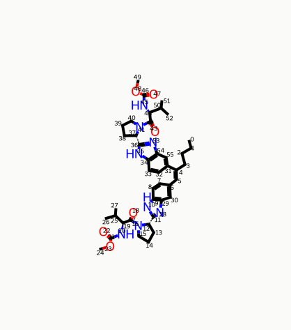 CCCC/C(=C/c1ccc2[nH]c([C@@H]3CCCN3C(=O)[C@@H](NC(=O)OC)C(C)C)nc2c1)c1ccc2[nH]c([C@@H]3CCCN3C(=O)[C@@H](NC(=O)OC)C(C)C)nc2c1